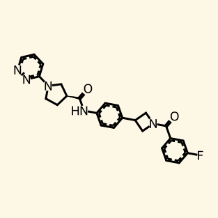 O=C(Nc1ccc(C2CN(C(=O)c3cccc(F)c3)C2)cc1)[C@H]1CCN(c2cccnn2)C1